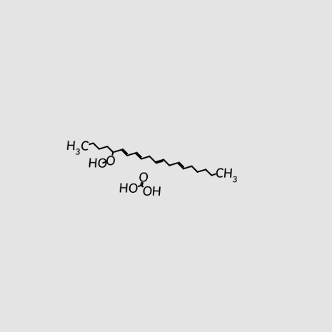 CCCCCC=CCC=CCC=CC=CC(CCCC)OO.O=C(O)O